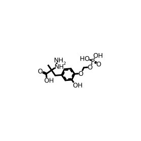 CC(Cc1ccc(OCOP(=O)(O)O)c(O)c1)(NN)C(=O)O